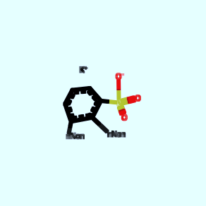 CCCCCCCCCc1cccc(S(=O)(=O)[O-])c1CCCCCCCCC.[K+]